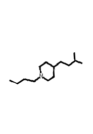 CCCCN1CCC(CCC(C)C)CC1